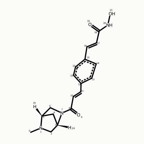 CN1C[C@@H]2C[C@H]1CN2C(=O)/C=C/c1ccc(/C=C/C(=O)NO)cc1